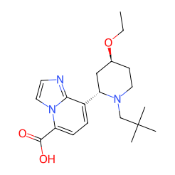 CCO[C@H]1CCN(CC(C)(C)C)[C@H](c2ccc(C(=O)O)n3ccnc23)C1